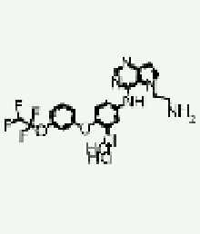 Cl.Cl.NCCn1ccc2ncnc(Nc3ccc(Oc4cccc(OC(F)(F)C(F)F)c4)c(Cl)c3)c21